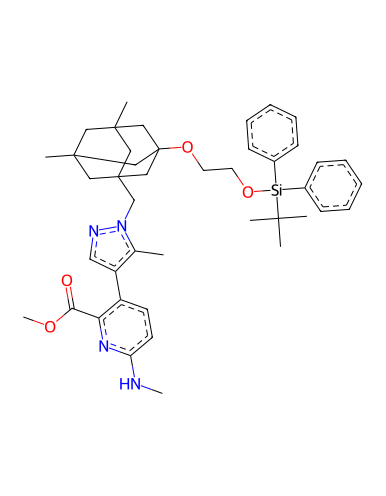 CNc1ccc(-c2cnn(CC34CC5(C)CC(C)(C3)CC(OCCO[Si](c3ccccc3)(c3ccccc3)C(C)(C)C)(C5)C4)c2C)c(C(=O)OC)n1